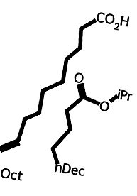 CCCCCCCCC=CCCCCCCCC(=O)O.CCCCCCCCCCCCCC(=O)OC(C)C